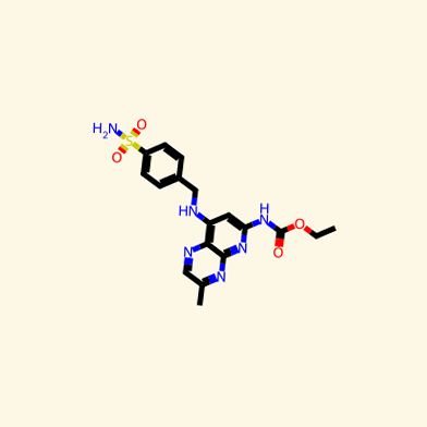 CCOC(=O)Nc1cc(NCc2ccc(S(N)(=O)=O)cc2)c2ncc(C)nc2n1